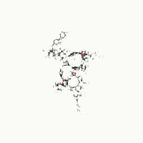 CN[C@H](CC(C)O)C(=O)N[C@H]1C(=O)N[C@@H](CC(N)=O)C(=O)N[C@H]2C(=O)N[C@H]3C(=O)N[C@H](C(=O)N[C@H](C(=O)SCC(=O)NCCCN)c4cc(O)ccc4-c4cc3ccc4C(O)O)[C@H](O[C@H]3C[C@](C)(N)[C@@H](O)[C@H](C)O3)c3ccc(c(Cl)c3)Oc3cc2cc(c3O[C@@H]2O[C@H](CO)[C@@H](O)[C@H](O)[C@H]2O[C@H]2C[C@](C)(NCc3ccc(-c4ccc(Cl)cc4)cc3)[C@@H](O)[C@H](C)O2)Oc2ccc(cc2Cl)[C@H]1O